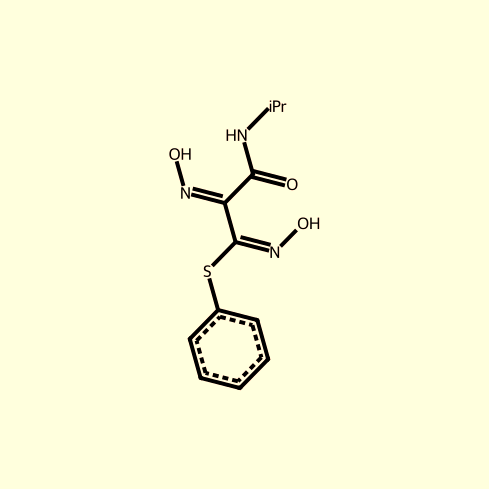 CC(C)NC(=O)C(=NO)C(=NO)Sc1ccccc1